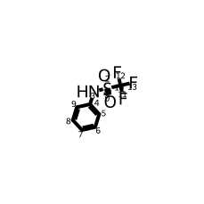 O=S(=O)(Nc1cc[c]cc1)C(F)(F)F